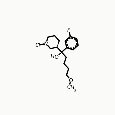 COCCCC[C@@](O)(c1cccc(F)c1)[C@@H]1CCCN(Cl)C1